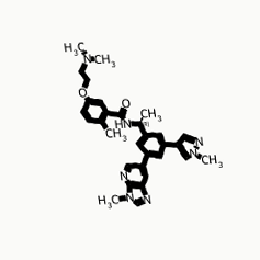 Cc1ccc(OCCN(C)C)cc1C(=O)N[C@H](C)c1cc(-c2cnc3c(c2)ncn3C)cc(-c2cnn(C)c2)c1